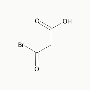 O=C(O)CC(=O)Br